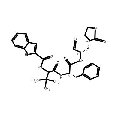 CC(C)(C)C(NC(=O)c1cc2ccccc2[nH]1)C(=O)N[C@@H](Cc1ccccc1)C(=O)N[C@H](C=O)C[C@@H]1CCNC1=O